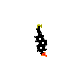 Pc1ccc2c(ccc3cc(C#CS)ccc32)c1